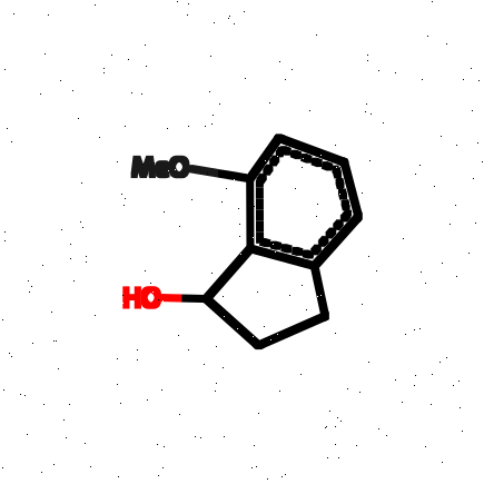 COc1cccc2c1C(O)CC2